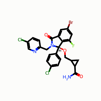 NC(=O)C1CC1CO[C@]1(c2ccc(Cl)cc2)c2c(F)cc(Br)cc2C(=O)N1Cc1ccc(Cl)cn1